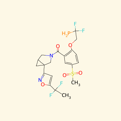 CC(F)(F)c1cc(C23CC2CN(C(=O)c2cc(S(C)(=O)=O)ccc2OCC(F)(F)P)C3)no1